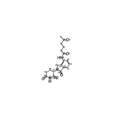 CC(=O)CCCC(=O)Nc1cccc2c1CN(C1CCC(=O)NC1=O)C2=O